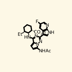 CC[C@H]1CCC[C@H](C(=O)O)[C@H]1Nc1nc(-c2c[nH]c3ncc(F)cc23)nn2c(NC(C)=O)ccc12